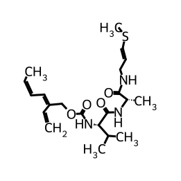 C=C/C(=C\C=C/C)COC(=O)N[C@H](C(=O)N[C@@H](C)C(=O)NC/C=C/SC)C(C)C